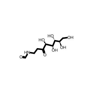 O=CNCCC(=O)[C@@H](O)[C@@H](O)[C@H](O)[C@H](O)CO